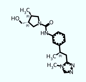 C[C@H](Cc1nncn1C)c1cccc(NC(=O)N2C[C@H](CO)[C@@H](C)C2)c1